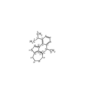 CC(C)c1cccc(C(C)C)c1-[n+]1csc2c1CCCCC2